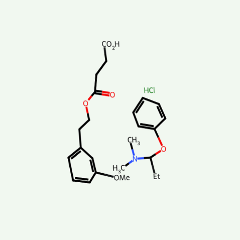 CCC(Oc1ccccc1)N(C)C.COc1cccc(CCOC(=O)CCC(=O)O)c1.Cl